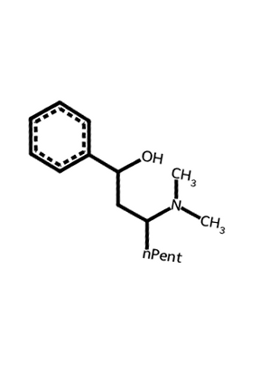 CCCCCC(CC(O)c1ccccc1)N(C)C